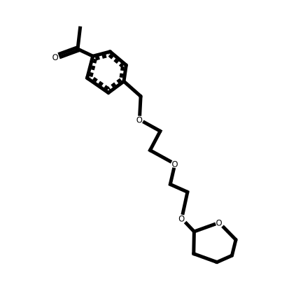 CC(=O)c1ccc(COCCOCCOC2CCCCO2)cc1